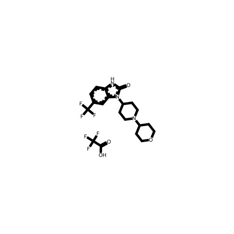 O=C(O)C(F)(F)F.O=c1[nH]c2ccc(C(F)(F)F)cc2n1C1CCN(C2CCOCC2)CC1